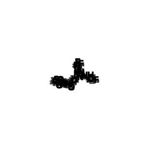 O=C(c1ccc(-c2nc(NCc3ccc(F)cc3)nc(OCC(F)(F)F)n2)cc1)N1CCN(S(=O)(=O)c2cccs2)CC1